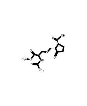 COC(=O)C(CSC[C@H]1C(=O)CC[C@@H]1C(=O)O)NC(C)=O